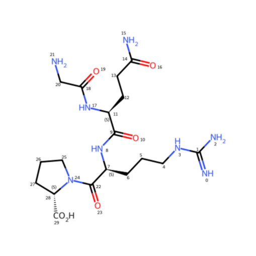 N=C(N)NCCC[C@H](NC(=O)[C@H](CCC(N)=O)NC(=O)CN)C(=O)N1CCC[C@H]1C(=O)O